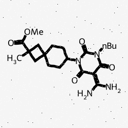 CCCCN1C(=O)C(=C(N)N)C(=O)N(C2CCC3(CC2)CC(C)(C(=O)OC)C3)C1=O